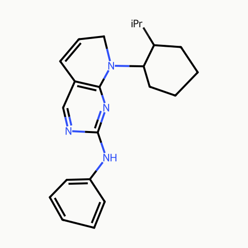 CC(C)C1CCCCC1N1CC=Cc2cnc(Nc3ccccc3)nc21